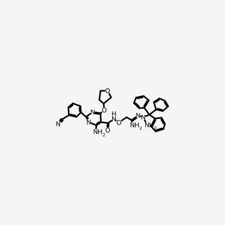 N#Cc1cccc(-c2nc(N)c(C(=O)NOC/C(N)=N/N(N)C(c3ccccc3)(c3ccccc3)c3ccccc3)c(OC3CCOC3)n2)c1